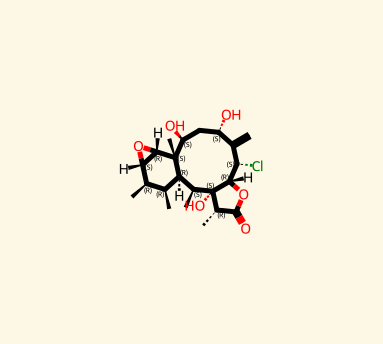 C=C1[C@@H](O)C[C@H](O)[C@]2(C)[C@H]([C@@H](C)[C@@H](C)[C@@H]3O[C@@H]32)[C@H](C)[C@]2(O)[C@@H](C)C(=O)O[C@H]2[C@H]1Cl